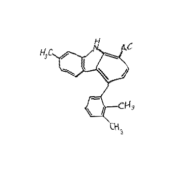 CC(=O)c1ccc(-c2cccc(C)c2C)c2c1[nH]c1cc(C)ccc12